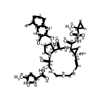 CCc1nc2cccc(F)c2nc1O[C@@H]1C[C@H]2C(=O)N[C@]3(C(=O)NS(=O)(=O)C4(C)CC4)C[C@H]3C=CCCCCC[C@H](NC(=O)c3cc(C)[nH]n3)C(=O)N2C1